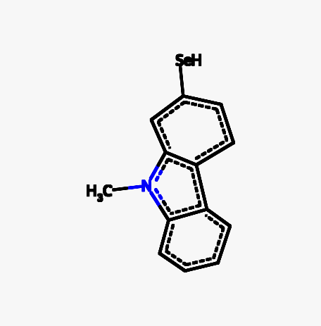 Cn1c2ccccc2c2ccc([SeH])cc21